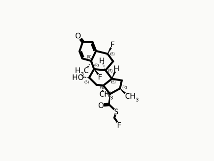 C[C@@H]1C[C@H]2[C@@H]3C[C@H](F)C4=CC(=O)C=C[C@]4(C)[C@@]3(F)[C@@H](O)C[C@]2(C)[C@@H]1C(=O)SCF